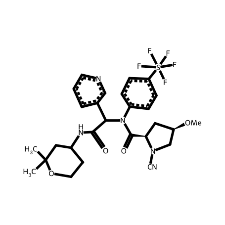 CO[C@@H]1C[C@H](C(=O)N(c2ccc(S(F)(F)(F)(F)F)cc2)C(C(=O)NC2CCOC(C)(C)C2)c2cccnc2)N(C#N)C1